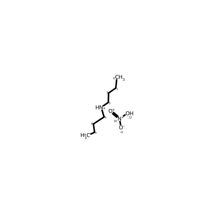 CCCCNCCCC.O=[N+]([O-])O